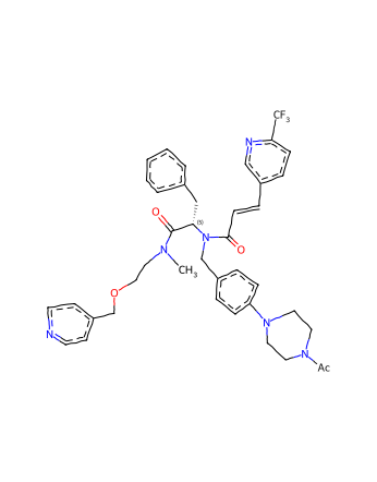 CC(=O)N1CCN(c2ccc(CN(C(=O)C=Cc3ccc(C(F)(F)F)nc3)[C@@H](Cc3ccccc3)C(=O)N(C)CCOCc3ccncc3)cc2)CC1